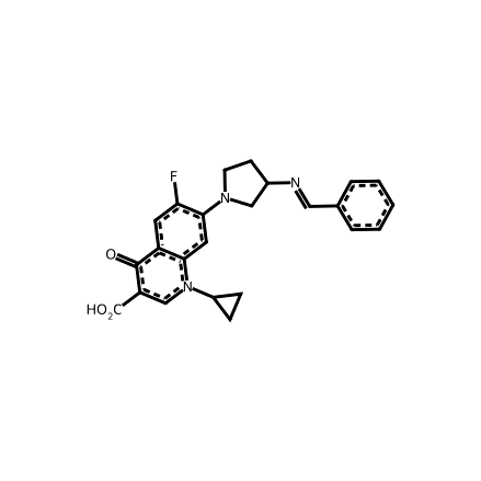 O=C(O)c1cn(C2CC2)c2cc(N3CCC(N=Cc4ccccc4)C3)c(F)cc2c1=O